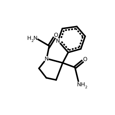 NC(=O)N1CCCC1(C(N)=O)c1ccccn1